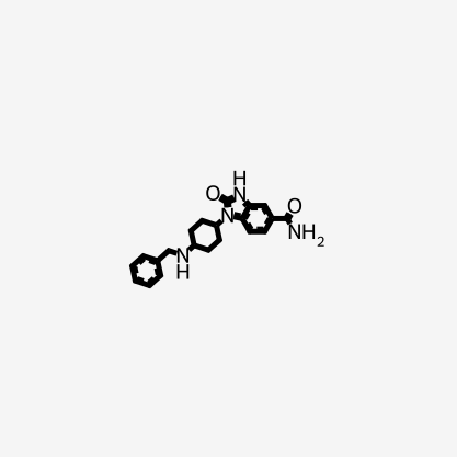 NC(=O)c1ccc2c(c1)[nH]c(=O)n2C1CCC(NCc2ccccc2)CC1